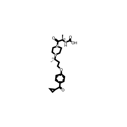 C[C@@H](NC(=O)O)C(=O)N1CCN([C@@H](C)CCOc2ccc(C(=O)C3CC3)cc2)CC1